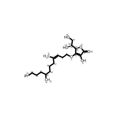 CC(=CCCOC1=C(O)C(=O)O[C@@H]1[C@@H](O)CO)CCCC(C)CCCC(C)C